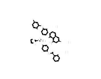 Nc1cc(S(=O)(=O)O)cc2cccc(S(=O)(=O)O)c12.O=C(O)c1ccccc1C(=O)Nc1ccc(S(=O)(=O)Nc2nccs2)cc1.O=C(O)c1ccccc1Nc1cc(Cl)ccc1Cl